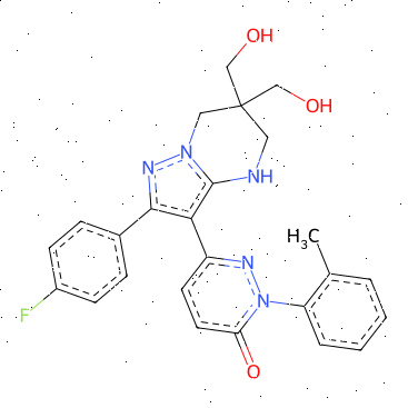 Cc1ccccc1-n1nc(-c2c(-c3ccc(F)cc3)nn3c2NCC(CO)(CO)C3)ccc1=O